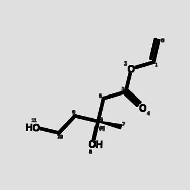 C=COC(=O)C[C@](C)(O)CCO